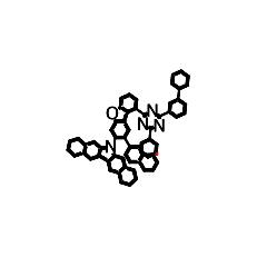 c1ccc(-c2cccc(-c3nc(-c4ccccc4)nc(-c4cccc5oc6cc(-n7c8cc9ccccc9cc8c8cc9ccccc9cc87)c(-c7ccc8ccccc8c7)cc6c45)n3)c2)cc1